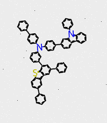 c1ccc(-c2ccc(N(c3ccc(-c4ccc5c6ccccc6n(-c6ccccc6)c5c4)cc3)c3cccc(-c4cc(-c5ccccc5)cc5c4sc4ccc(-c6ccccc6)cc45)c3)cc2)cc1